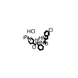 CC(C)N1CCC(C(=O)N[C@@H]2CCCC[C@@H]2NC(=O)c2cc3cc(Cl)ccc3[nH]2)CC1.Cl